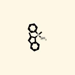 CC1=Cc2ccccc2[CH]1[Zr]([CH3])([SiH3])[c]1ccccc1